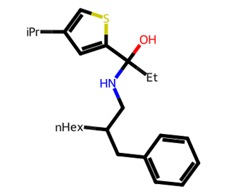 CCCCCCC(CNC(O)(CC)c1cc(C(C)C)cs1)Cc1ccccc1